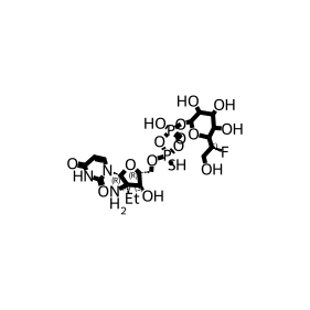 CC[C@@]1(N)[C@H](O)[C@@H](COP(=O)(S)OP(=O)(O)OC2OC([C@@H](F)CO)C(O)C(O)C2O)O[C@H]1n1ccc(=O)[nH]c1=O